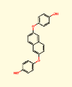 Oc1ccc(Oc2ccc3cc(Oc4ccc(O)cc4)ccc3c2)cc1